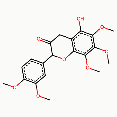 COc1ccc(C2Oc3c(c(O)c(OC)c(OC)c3OC)CC2=O)cc1OC